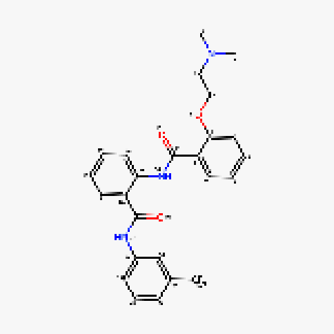 CN(C)CCOc1ccccc1C(=O)Nc1ccccc1C(=O)Nc1cccc(C(F)(F)F)c1